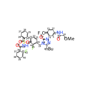 CCCCc1nn(-c2cc(NC(=O)COC)ccc2C(F)(F)F)c(=O)n1Cc1ccc(-c2ccccc2S(=O)(=O)NC(=O)c2ccccc2F)cc1F